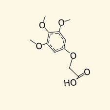 COc1cc(OCC(=O)O)cc(OC)c1OC